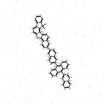 CC1(C)c2ccccc2-c2ccc3sc4c5ccc(-c6ccc7cc(-c8c9ccccc9c(-c9ccc%10ccccc%10c9)c9ccccc89)ccc7c6)cc5ccc4c3c21